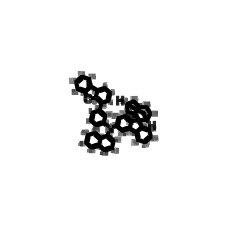 c1cc(-c2cccc3c2oc2ccccc23)cc(N(c2ccc3c(c2)-c2ccccc2C32[C@H]3CCC4C[C@@H](C3)C[C@H]42)c2cccc3ccccc23)c1